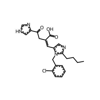 CCCCc1ncc(C=C(CC(=O)c2c[nH]cn2)C(=O)O)n1Cc1ccccc1Cl